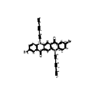 C#CC#CC#Cn1c2ccc(Br)cc2c(=O)c2cc3c(cc21)c(=O)c1cc(Br)ccc1n3C#CC#CC#C